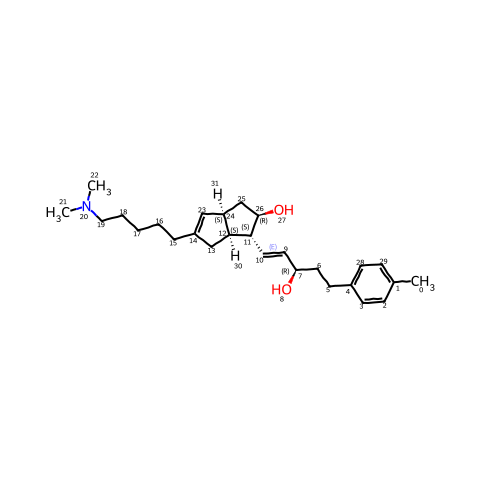 Cc1ccc(CC[C@@H](O)/C=C/[C@@H]2[C@H]3CC(CCCCCN(C)C)=C[C@H]3C[C@H]2O)cc1